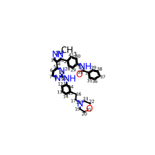 Cn1ncc(-c2ccnc(Nc3cccc(CCN4CCOCC4)c3)n2)c1-c1ccc(NC(=O)c2ccccc2)cc1